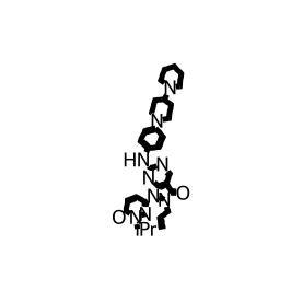 C=CCn1c(=O)c2cnc(Nc3ccc(N4CCC(N5CCCCC5)CC4)cc3)nc2n1-c1ccc(=O)n(C(C)C)n1